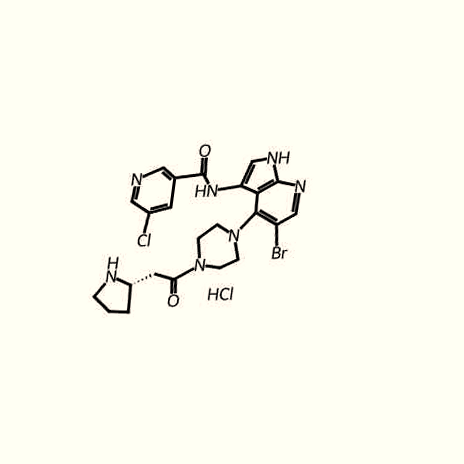 Cl.O=C(Nc1c[nH]c2ncc(Br)c(N3CCN(C(=O)C[C@@H]4CCCN4)CC3)c12)c1cncc(Cl)c1